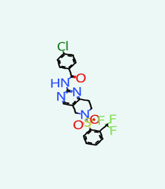 O=C(Nc1ncc2c(n1)CCN(S(=O)(=O)c1ccccc1C(F)(F)F)C2)c1ccc(Cl)cc1